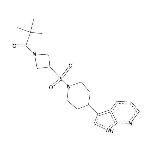 CC(C)(C)C(=O)N1CC(S(=O)(=O)N2CCC(c3c[nH]c4ncccc34)CC2)C1